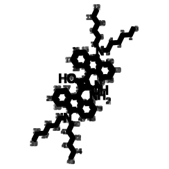 CCCCCCN(CCCCCC)c1c2ccccc2c(C2C(O)C(c3c4ccccc4c(N(CCCCCC)CCCCCC)c4cccc(N)c34)C2O)c2c(N)cccc12